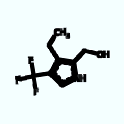 CCc1c(C(F)(F)F)c[nH]c1CO